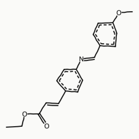 CCOC(=O)C=Cc1ccc(N=Cc2ccc(OC)cc2)cc1